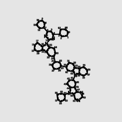 c1ccc(-c2cc(-c3ccccc3)nc(-n3c4ccccc4c4cc(-c5cccc(-c6ccc7c8ccccc8n(-c8ccc9c(c8)c8ncncc8n9-c8ccccc8)c7c6)c5)ccc43)n2)cc1